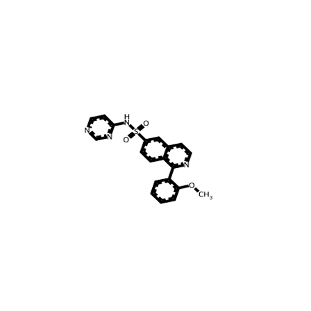 COc1ccccc1-c1nccc2cc(S(=O)(=O)Nc3ccncn3)ccc12